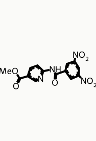 COC(=O)c1ccc(NC(=O)c2cc([N+](=O)[O-])cc([N+](=O)[O-])c2)nc1